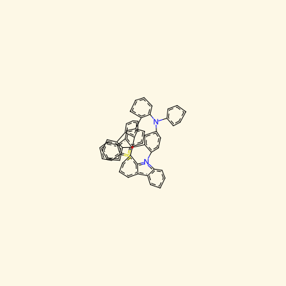 c1ccc(N(c2ccc3c(c2)C2(c4ccccc4-c4ccccc42)c2cccc4c5ccccc5n-3c24)c2ccccc2-c2ccc3sc4ccccc4c3c2)cc1